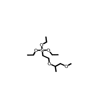 CCO[Si](CCOC(C)COC)(OCC)OCC